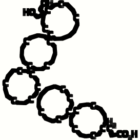 C1CCCCCCCCCCCCCC1.C1CCCCCCCCCCCCCC1.C1CCCCCCCCCCCCCC1.C1CCCCCCCCCCCCCC1.C=CC(=O)O.OCC1(CO)CCCCCCCCCCCCCC1